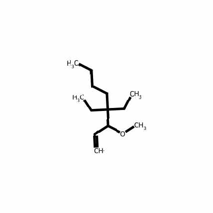 [CH]=CC(OC)C(CC)(CC)CCCC